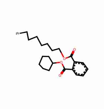 CC(C)CCCCCCCOC(=O)c1ccccc1C(=O)OC1CCCCC1